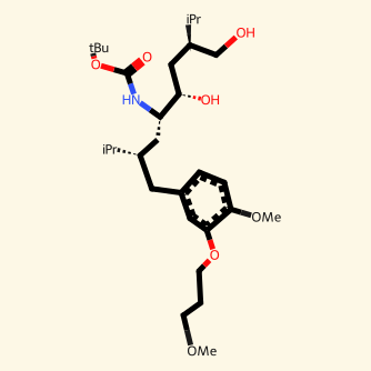 COCCCOc1cc(C[C@@H](C[C@H](NC(=O)OC(C)(C)C)[C@@H](O)C[C@H](CO)C(C)C)C(C)C)ccc1OC